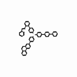 c1ccc(-c2ccc(-c3ccc(N(c4ccc(-c5ccc6c(ccc7ccccc76)c5)cc4)c4ccc(-c5ccccc5-c5cc6ccccc6o5)cc4)cc3)cc2)cc1